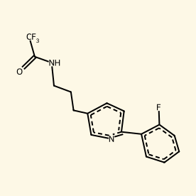 O=C(NCCCc1ccc(-c2ccccc2F)nc1)C(F)(F)F